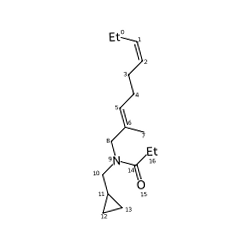 CC/C=C\CC/C=C(\C)CN(CC1CC1)C(=O)CC